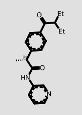 CCC(CC)C(=O)c1ccc([C@@H](C)C(=O)Nc2cccnc2)cc1